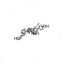 CCc1cc(O)ccc1-c1ccc2c(-c3nc(C4=CCCN(CCCO)C4)c[nH]3)n[nH]c2c1